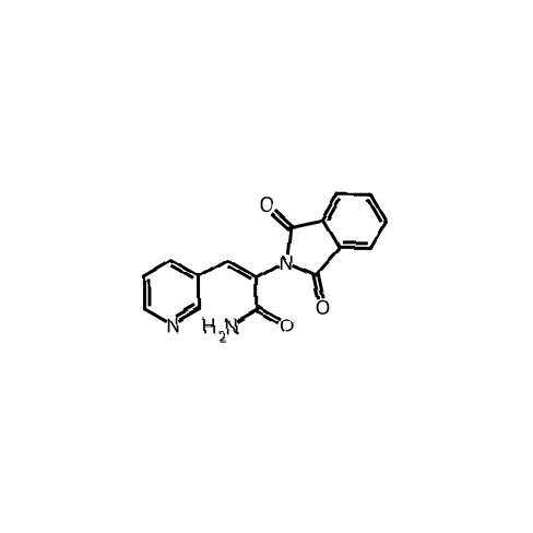 NC(=O)C(=Cc1cccnc1)N1C(=O)c2ccccc2C1=O